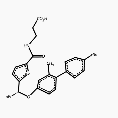 CCC[C@@H](Oc1ccc(-c2ccc(C(C)(C)C)cc2)c(C)c1)c1ccc(C(=O)NCCC(=O)O)s1